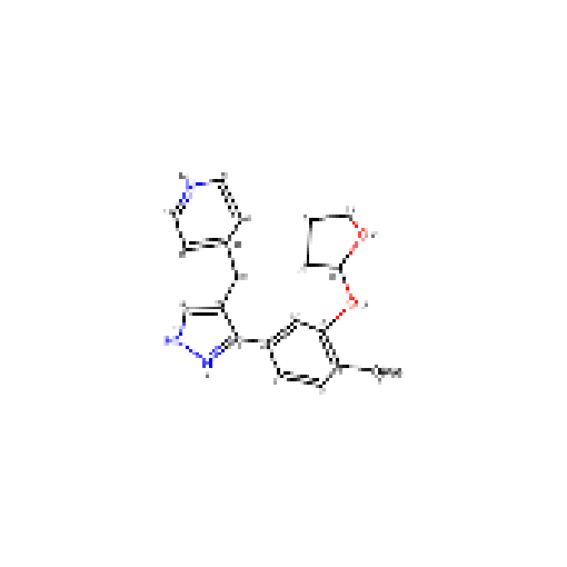 COc1ccc(-c2n[nH]cc2Cc2ccncc2)cc1OC1CCCO1